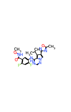 CONC(=O)c1cc(Nc2ncnn3cc(-c4noc(C)n4)c(C(C)C)c23)c(F)cc1F